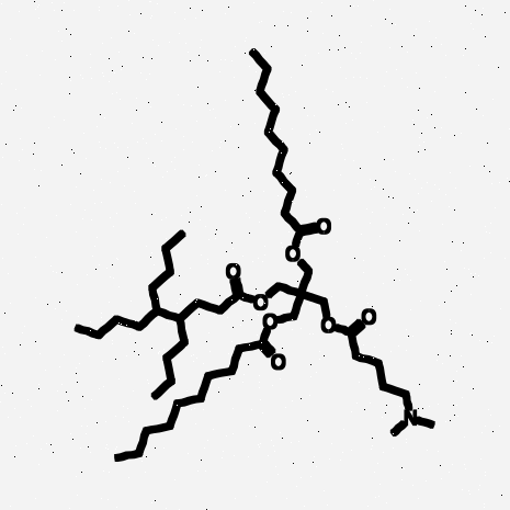 CCCCCCCCCC(=O)OCC(COC(=O)CCCCCCCCC)(COC(=O)CCCCN(C)C)COC(=O)CCC(CCCC)C(CCCC)CCCC